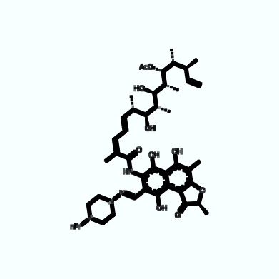 C=C[C@H](C)[C@@H](C)[C@@H](OC(C)=O)[C@H](C)[C@H](O)[C@H](C)[C@@H](O)[C@@H](C)/C=C/C=C(/C)C(=O)Nc1c(/C=N/N2CCN(CCC)CC2)c(O)c2c3c(c(C)c(O)c2c1O)O[C@@H](C)C3=O